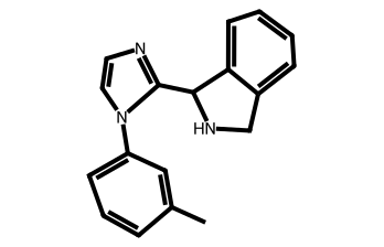 Cc1cccc(-n2ccnc2C2NCc3ccccc32)c1